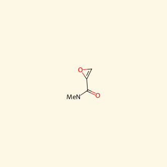 CNC(=O)C1=CO1